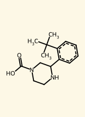 CC(C)(C)c1ccccc1C1CN(C(=O)O)CCN1